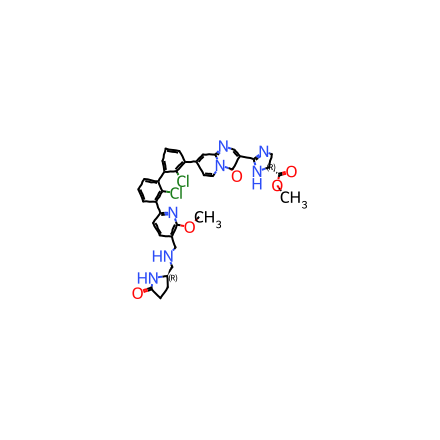 COC(=O)[C@H]1CN=C(c2cnc3cc(-c4cccc(-c5cccc(-c6ccc(CNC[C@H]7CCC(=O)N7)c(OC)n6)c5Cl)c4Cl)ccn3c2=O)N1